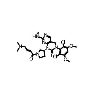 CNc1ncc2c(n1)N([C@@H]1CCN(C(=O)/C=C/CN(C)C)C1)C(=O)N(c1c(Cl)c(OC)cc(OC)c1Cl)C2